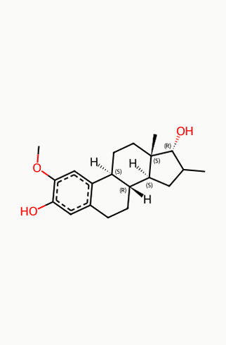 COc1cc2c(cc1O)CC[C@@H]1[C@@H]2CC[C@]2(C)[C@H](O)C(C)C[C@@H]12